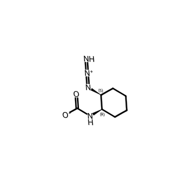 N=[N+]=N[C@H]1CCCC[C@H]1NC(=O)[O-]